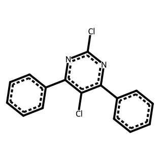 Clc1nc(-c2ccccc2)c(Cl)c(-c2ccccc2)n1